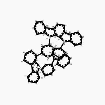 c1ccc(-c2ccc(-n3c4ccccc4c4ccc5c6ccccc6n(-c6nc(-c7ccccc7)nc(-c7cccc8c7sc7ccccc78)n6)c5c43)cc2)cc1